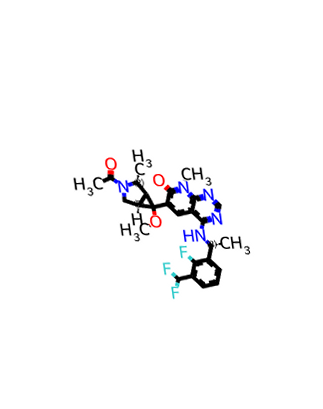 COC1(c2cc3c(N[C@H](C)c4cccc(C(F)F)c4F)ncnc3n(C)c2=O)C2[C@@H](C)N(C(C)=O)C[C@@H]21